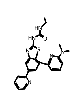 CCNC(=O)Nc1nc2cc(-c3ccccn3)cc(-c3cccc(N(C)C)n3)c2s1